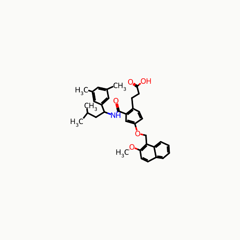 COc1ccc2ccccc2c1COc1ccc(CCC(=O)O)c(C(=O)NC(CC(C)C)c2cc(C)cc(C)c2)c1